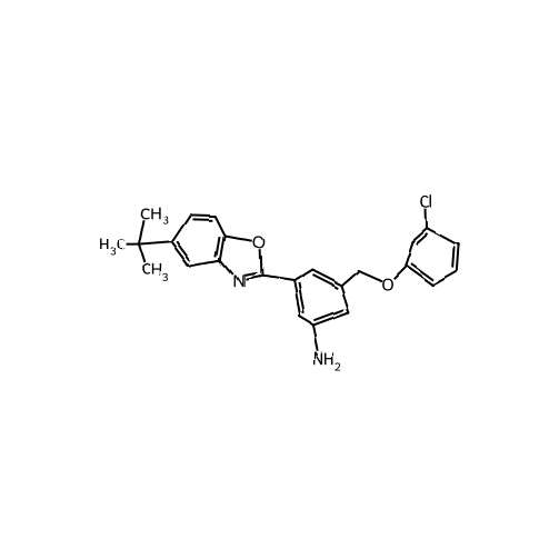 CC(C)(C)c1ccc2oc(-c3cc(N)cc(COc4cccc(Cl)c4)c3)nc2c1